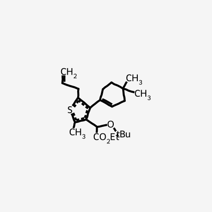 C=CCc1sc(C)c(C(OC(C)(C)C)C(=O)OCC)c1C1=CCC(C)(C)CC1